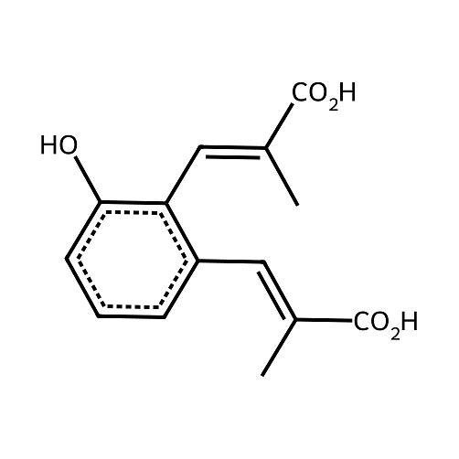 CC(=Cc1cccc(O)c1C=C(C)C(=O)O)C(=O)O